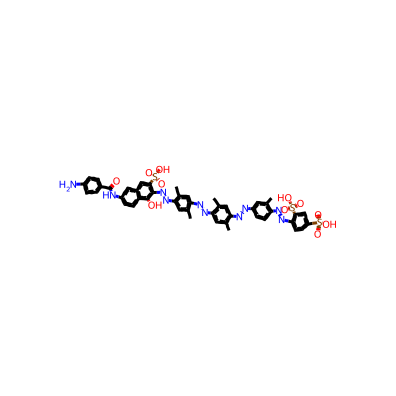 Cc1cc(N=Nc2cc(C)c(N=Nc3c(S(=O)(=O)O)cc4cc(NC(=O)c5ccc(N)cc5)ccc4c3O)cc2C)c(C)cc1N=Nc1ccc(N=Nc2ccc(S(=O)(=O)O)cc2S(=O)(=O)O)c(C)c1